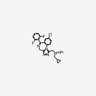 CCCN(Cc1nnc2n1-c1ccc(Cl)cc1C(c1c(F)cccc1F)=NC2)CC1CC1